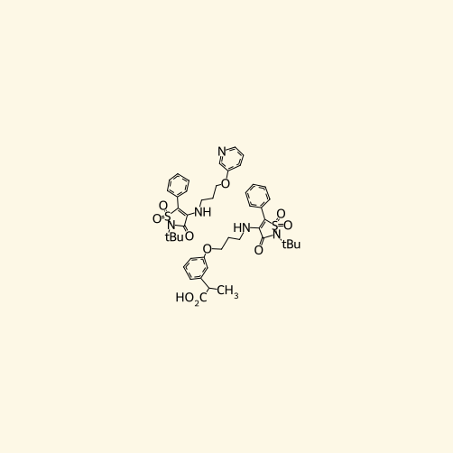 CC(C(=O)O)c1cccc(OCCCNC2=C(c3ccccc3)S(=O)(=O)N(C(C)(C)C)C2=O)c1.CC(C)(C)N1C(=O)C(NCCCOc2cccnc2)=C(c2ccccc2)S1(=O)=O